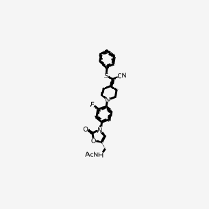 CC(=O)NC[C@H]1CN(c2ccc(N3CCC(=C(C#N)Sc4ccccc4)CC3)c(F)c2)C(=O)O1